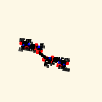 CCCCC(CC)Cn1c(O)c(N=Nc2ccc(S(=O)(=O)NCC(C)OC(=O)CCCCC(=O)OC(C)CNS(=O)(=O)c3ccc(N=Nc4c(C)c(C#N)c(=O)n(CC(CC)CCCC)c4O)c(C)c3)c(C)c2)c(C)c(C#N)c1=O